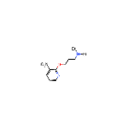 CCN(CC)CCCOc1ncccc1[N+](=O)[O-]